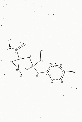 CCC(C)(CC1(C(=O)OC)CC1C)Sc1ccc(C)cc1